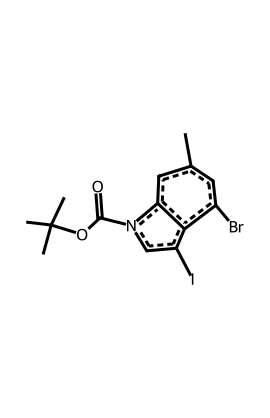 Cc1cc(Br)c2c(I)cn(C(=O)OC(C)(C)C)c2c1